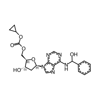 O=C(OC[C@H]1O[C@@H](n2cnc3c(NC(O)c4ccccc4)ncnc32)C[C@@H]1O)OC1CC1